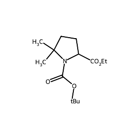 CCOC(=O)C1CCC(C)(C)N1C(=O)OC(C)(C)C